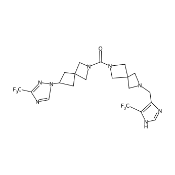 O=C(N1CC2(CC(n3cnc(C(F)(F)F)n3)C2)C1)N1CC2(CN(Cc3nc[nH]c3C(F)(F)F)C2)C1